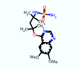 COc1cc2ncnc(OC(C)(C)CC(C)(C)NS(N)(=O)=O)c2cc1OC